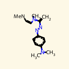 C=C(/N=N/c1ccc(N(C)C)cc1)N(C)/C=C\NC